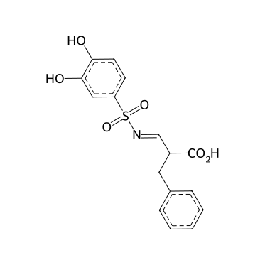 O=C(O)C(/C=N/S(=O)(=O)c1ccc(O)c(O)c1)Cc1ccccc1